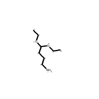 CCO[C](CCCN)OCC